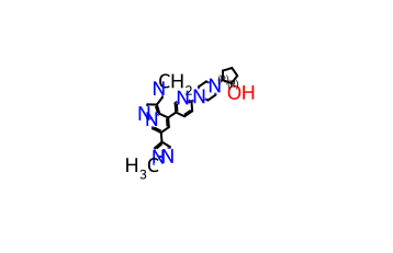 C=NCc1cnn2cc(-c3cnn(C)c3)cc(-c3ccc(N4CCN([C@@H]5CCC[C@H]5O)CC4)nc3)c12